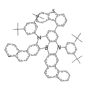 CC(C)(C)c1cc(N2c3cc4c(ccc5ccccc54)cc3B3c4cc5ccc6ccccc6c5cc4N(c4cc(C(C)(C)C)cc(C(C)(C)C)c4)c4cc(-c5cccc6sc7ccccc7c56)cc2c43)cc(C(C)(C)C)c1